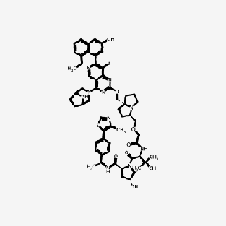 CCc1cccc2cc(O)cc(-c3ncc4c(N5CC6CCC(C5)N6)nc(OC[C@]56CCCN5[C@@H](COCC(=O)N[C@H](C(=O)N5C[C@H](O)C[C@H]5C(=O)N[C@@H](C)c5ccc(-c7scnc7C)cc5)C(C)(C)C)CC6)nc4c3F)c12